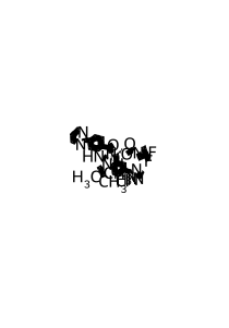 CC(C)(C)CNC(=N)N(C(=O)c1ccc(-c2ncccn2)cc1)[C@H](COC(=O)N1CC(F)(F)C1)c1ccc(Cl)c(-c2ncn[nH]2)c1